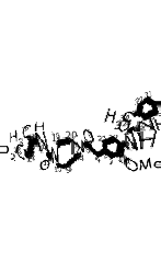 COc1cc(CC(=O)N2CCCN(C(=O)N[C@H](C)CC(=O)O)CC2)ccc1NC(=O)Nc1ccccc1C